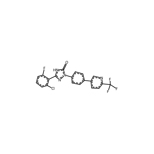 O=c1[nH]c(-c2c(F)cccc2Cl)nn1-c1ccc(-c2ccc(C(F)(F)F)nc2)cc1